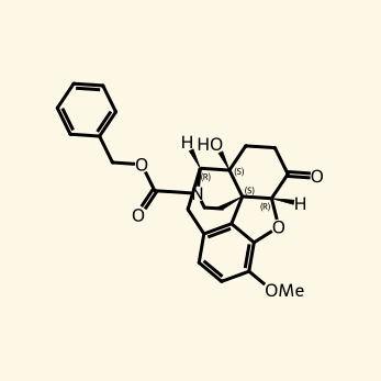 COc1ccc2c3c1O[C@H]1C(=O)CC[C@@]4(O)[C@@H](C2)N(C(=O)OCc2ccccc2)CC[C@]314